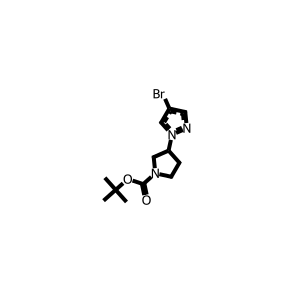 CC(C)(C)OC(=O)N1CCC(n2cc(Br)cn2)C1